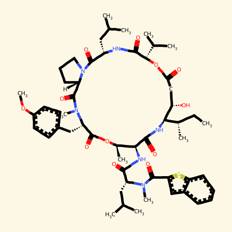 CC[C@H](C)[C@H]1NC(=O)[C@@H](NC(=O)[C@@H](CC(C)C)N(C)C(=O)c2cc3ccccc3s2)[C@@H](C)OC(=O)[C@H](Cc2ccc(OC)cc2)N(C)C(=O)[C@@H]2CCCN2C(=O)[C@H](CC(C)C)NC(=O)[C@H](C(C)C)OC(=O)C[C@@H]1O